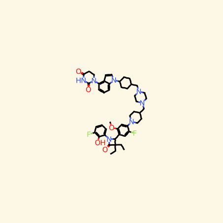 CCC1(CC)C(=O)N(c2cccc(F)c2O)C1c1cc(F)c(N2CCC(CN3CCN(CC4CCC(n5ccc6c(N7CCC(=O)NC7=O)cccc65)CC4)CC3)CC2)cc1OC